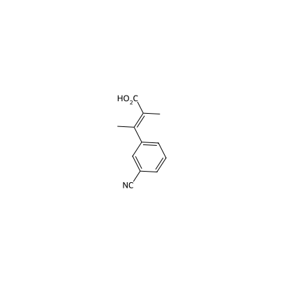 C/C(C(=O)O)=C(/C)c1cccc(C#N)c1